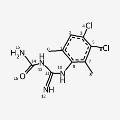 Cc1cc(Cl)c(Cl)c(C)c1NC(=N)NC(N)=O